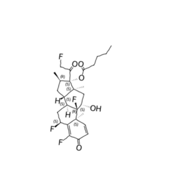 CCCCC(=O)O[C@@]1(C(=O)CF)[C@H](C)C[C@H]2[C@@H]3C[C@H](F)C4=C(F)C(=O)C=C[C@]4(C)[C@@]3(F)[C@@H](O)C[C@@]21C